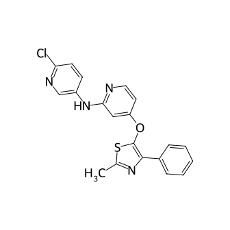 Cc1nc(-c2ccccc2)c(Oc2ccnc(Nc3ccc(Cl)nc3)c2)s1